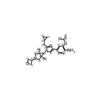 Nc1ncc(-c2cn([C@H]3[C@@H]4CN(C5COC5)C[C@@H]43)c(CC3CC3)n2)cc1OC(F)F